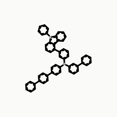 c1ccc(-c2ccc(-c3ccc(N(c4cccc(-c5ccccc5)c4)c4cccc(-c5cccc6c5c5ccccc5n6-c5ccccc5)c4)cc3)cc2)cc1